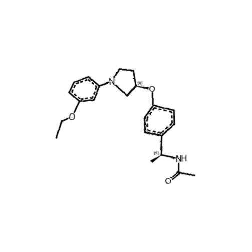 CCOc1cccc(N2CC[C@@H](Oc3ccc([C@H](C)NC(C)=O)cc3)C2)c1